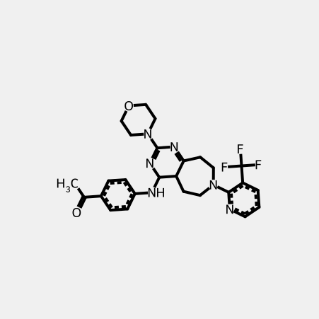 CC(=O)c1ccc(NC2N=C(N3CCOCC3)N=C3CCN(c4ncccc4C(F)(F)F)CCC32)cc1